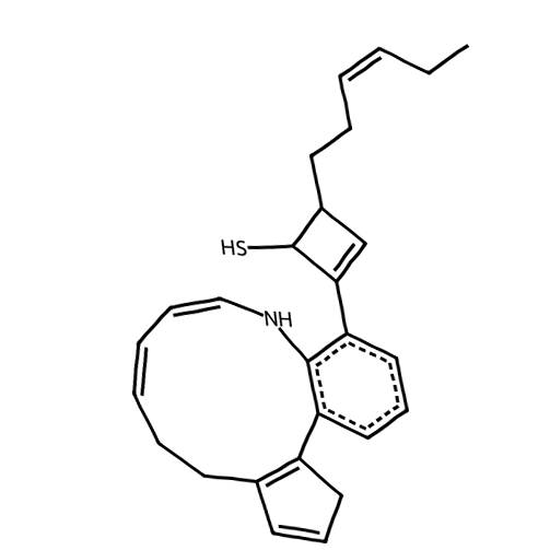 CC/C=C\CCC1C=C(c2cccc3c2NC=C/C=C\CCC2=C3CC=C2)C1S